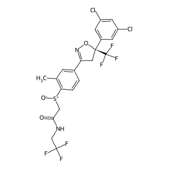 Cc1cc(C2=NO[C@@](c3cc(Cl)cc(Cl)c3)(C(F)(F)F)C2)ccc1[S+]([O-])CC(=O)NCC(F)(F)F